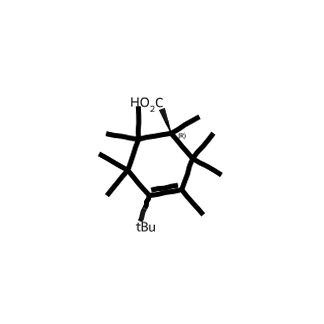 CC1=C(C(C)(C)C)C(C)(C)C(C)(C)[C@@](C)(C(=O)O)C1(C)C